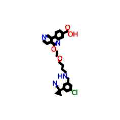 N#CC1(c2cc(Cl)cc(CNCCCCOCCOc3nc4cc(C(=O)O)ccc4c4cnccc34)c2)CC1